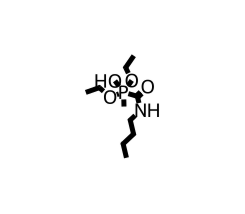 CCCCNC(=O)P(C)(O)(OCC)OCC